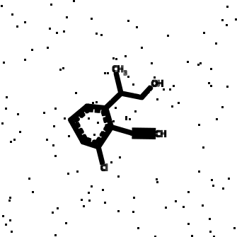 C#Cc1c(Cl)cccc1[C](C)CO